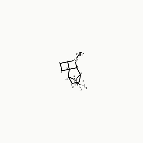 CC(C)N1C2CCC23C1C1CCC3[N+]1(C)C(C)C